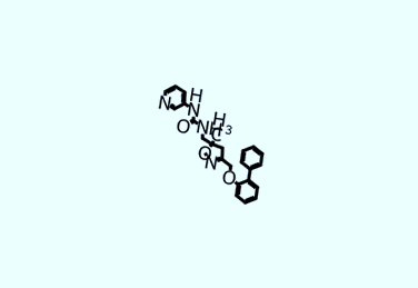 CC1(CNC(=O)Nc2cccnc2)CC(COc2ccccc2-c2ccccc2)=NO1